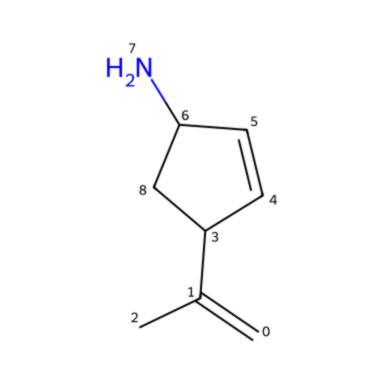 C=C(C)C1C=CC(N)C1